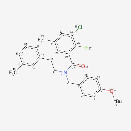 CC(C)(C)Oc1ccc(CN(CCc2cccc(C(F)(F)F)c2)C(=O)c2cc(C(F)(F)F)cc(Cl)c2F)cc1